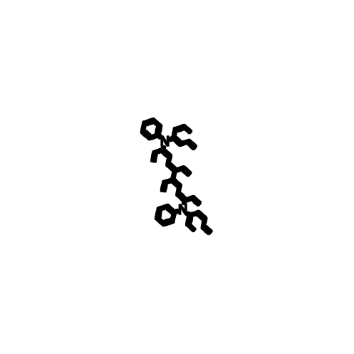 C=C/C=C\C(=C/C)N(/C(C=C)=C/C=C(C=C)/C(C=C)=C/C=C(\C=C)N(C(/C=C\C)=C/C=C)c1ccccc1)c1ccccc1